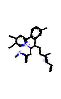 C=C/C=C(\C)CCC1c2cc(C)ccc2-c2cc(C)c(C)c[n+]2C1CC(=C)N=C